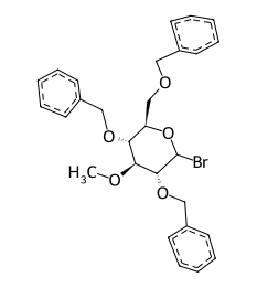 CO[C@H]1[C@H](OCc2ccccc2)[C@@H](COCc2ccccc2)OC(Br)[C@@H]1OCc1ccccc1